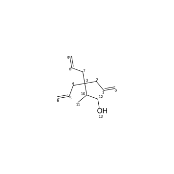 C=CCC(CC=C)(CC=C)C(C)CO